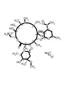 CC[C@H]1OC(=O)[C@H](C)[C@@H](O[C@H]2C[C@@](C)(OC)[C@@H](O)[C@H](C)O2)[C@H](C)[C@@H](O[C@@H]2O[C@H](C)C[C@H](N(C)C)[C@H]2O)[C@](C)(O)C[C@@H](C)CN(C)[C@H](C)[C@@H](O)[C@]1(C)O.[Cl-].[Cl-].[Mg+2]